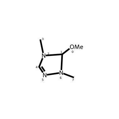 COC1N(C)C=NN1C